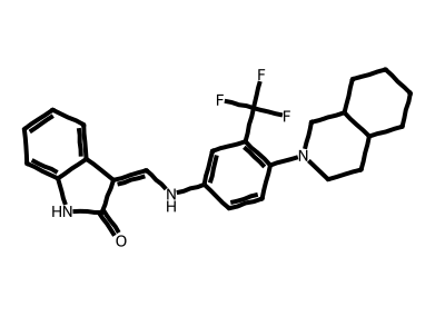 O=C1Nc2ccccc2C1=CNc1ccc(N2CCC3CCCCC3C2)c(C(F)(F)F)c1